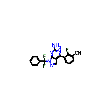 N#Cc1cccc(-c2nc(N)nc3c2cnn3C(F)(F)c2ccccc2)c1F